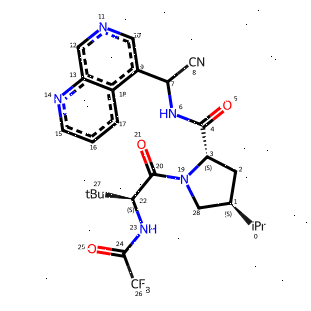 CC(C)[C@@H]1C[C@@H](C(=O)NC(C#N)c2cncc3ncccc23)N(C(=O)[C@@H](NC(=O)C(F)(F)F)C(C)(C)C)C1